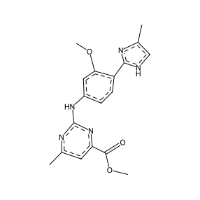 COC(=O)c1cc(C)nc(Nc2ccc(-c3nc(C)c[nH]3)c(OC)c2)n1